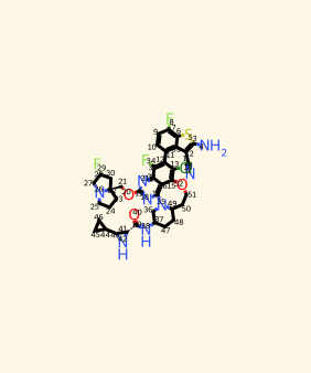 N#Cc1c(N)sc2c(F)ccc(-c3c(Cl)c4c5c(nc(OC[C@@]67CCCN6C[C@H](F)C7)nc5c3F)N3CC(NC(=O)[C@@H]5NC5C5CC5)CCC3CCO4)c12